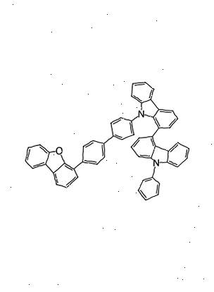 c1ccc(-n2c3ccccc3c3c(-c4cccc5c6ccccc6n(-c6ccc(-c7ccc(-c8cccc9c8oc8ccccc89)cc7)cc6)c45)cccc32)cc1